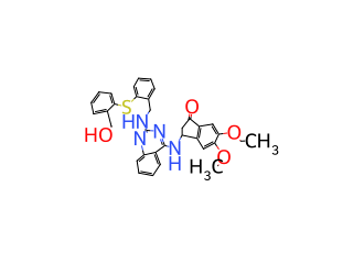 CCOc1cc2c(cc1OC)C(Nc1nc(NCc3ccccc3Sc3ccccc3CO)nc3ccccc13)CC2=O